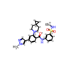 Cn1cc(-c2ccc(C(=O)Nc3cccc(S(=O)(=O)NC(C)(C)C)c3)c(N3CCC4(CC3)CC4)c2)cn1